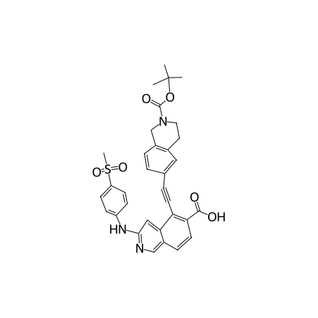 CC(C)(C)OC(=O)N1CCc2cc(C#Cc3c(C(=O)O)ccc4cnc(Nc5ccc(S(C)(=O)=O)cc5)cc34)ccc2C1